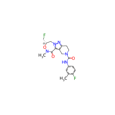 Cc1cc(NC(=O)N2CCc3nn4c(c3C2)C(=O)N(C)O[C@H](CF)C4)ccc1F